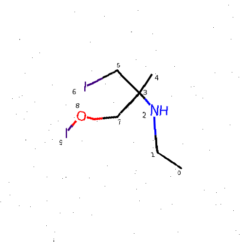 CCNC(C)(CI)COI